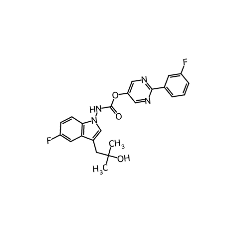 CC(C)(O)Cc1cn(NC(=O)Oc2cnc(-c3cccc(F)c3)nc2)c2ccc(F)cc12